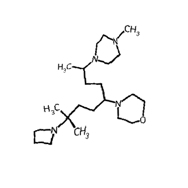 CC(CCC(CCC(C)(C)N1CCC1)N1CCOCC1)N1CCN(C)CC1